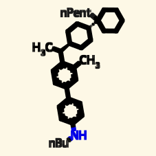 CCCCCC1([C@H]2CC[C@H](C(C)c3ccc(-c4ccc(NCCCC)cc4)cc3C)CC2)CCCCC1